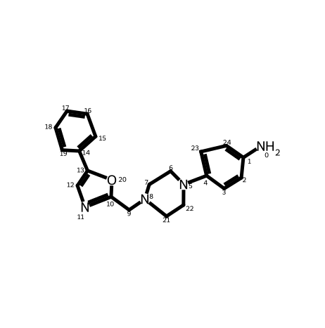 Nc1ccc(N2CCN(Cc3ncc(-c4ccccc4)o3)CC2)cc1